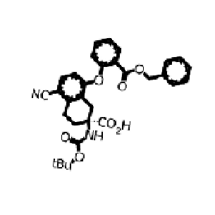 CC(C)(C)OC(=O)N[C@@]1(C(=O)O)CCc2c(C#N)ccc(Oc3ccccc3C(=O)OCc3ccccc3)c2C1